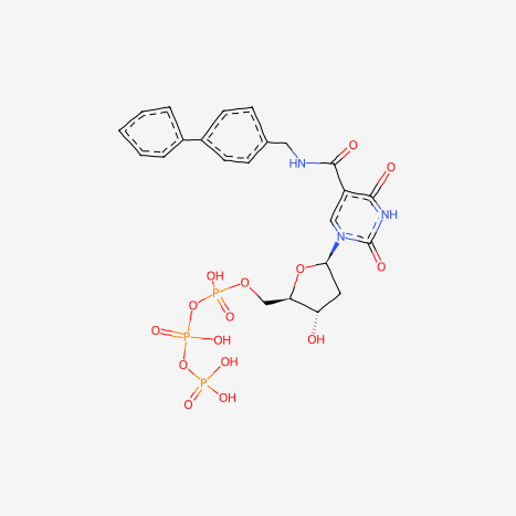 O=C(NCc1ccc(-c2ccccc2)cc1)c1cn([C@H]2C[C@H](O)[C@@H](COP(=O)(O)OP(=O)(O)OP(=O)(O)O)O2)c(=O)[nH]c1=O